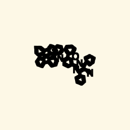 N#Cc1c(-c2ccccc2)nc(-c2ccc(-n3c4ccccc4c4c5c(ccc43)-c3ccccc3C53c4ccccc4-c4ccccc43)c3c2oc2ccccc23)nc1-c1ccccc1